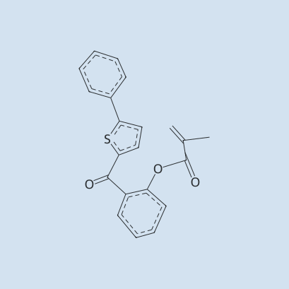 C=C(C)C(=O)Oc1ccccc1C(=O)c1ccc(-c2ccccc2)s1